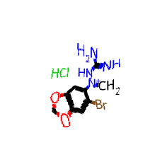 C=[N+](NC(=N)N)c1cc2c(cc1Br)OCO2.Cl